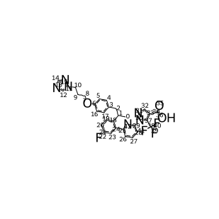 CC(Cc1ccc(OCCCn2cncn2)cc1)c1ccc(F)cc1-c1cccc(-n2ncc(C(=O)O)c2C(F)(F)F)n1